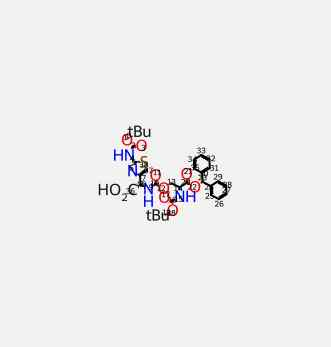 CC(C)(C)OC(=O)Nc1nc([C@@H](NC(=O)OCC(NC(=O)OC(C)(C)C)C(=O)OC(c2ccccc2)c2ccccc2)C(=O)O)cs1